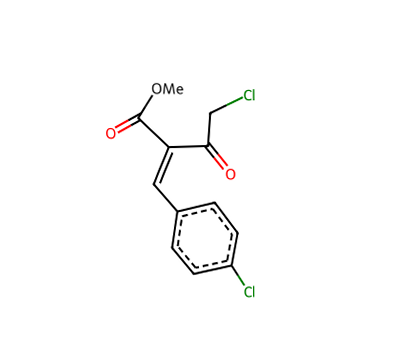 COC(=O)C(=Cc1ccc(Cl)cc1)C(=O)CCl